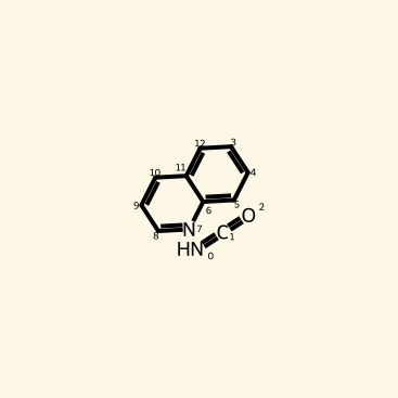 N=C=O.c1ccc2ncccc2c1